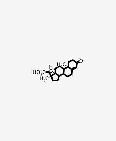 C[C@]1(CC(=O)O)CCC2C3CCC4=CC(=O)CC[C@]4(C)C3CC[C@@]21C